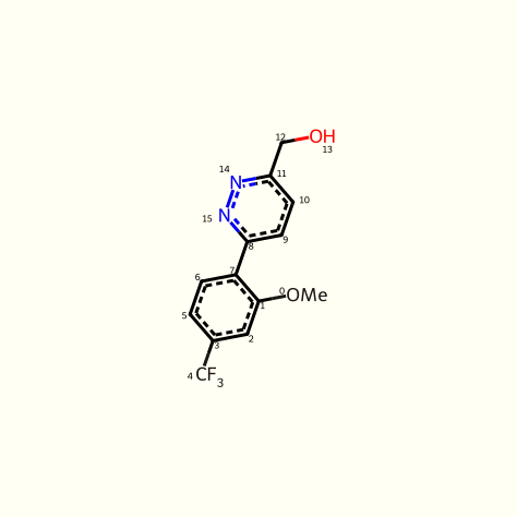 COc1cc(C(F)(F)F)ccc1-c1ccc(CO)nn1